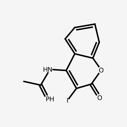 CC(=P)Nc1c(I)c(=O)oc2ccccc12